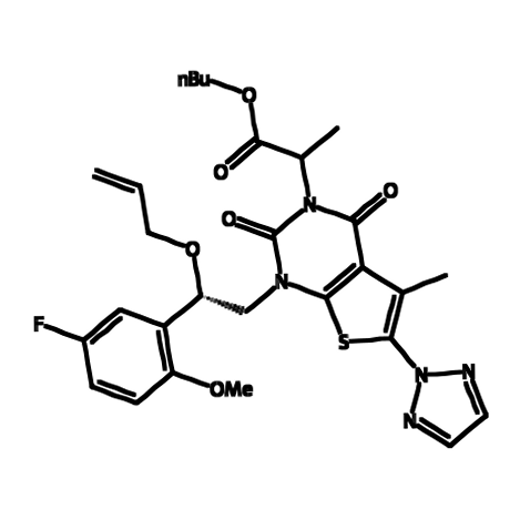 C=CCO[C@H](Cn1c(=O)n(C(C)C(=O)OCCCC)c(=O)c2c(C)c(-n3nccn3)sc21)c1cc(F)ccc1OC